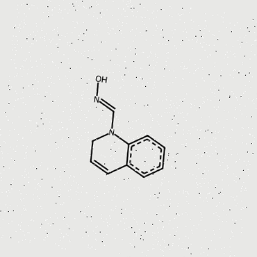 ON=CN1CC=Cc2ccccc21